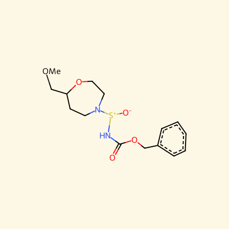 COCC1CCN([S+]([O-])NC(=O)OCc2ccccc2)CCO1